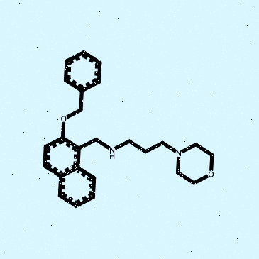 c1ccc(COc2ccc3ccccc3c2CNCCCN2CCOCC2)cc1